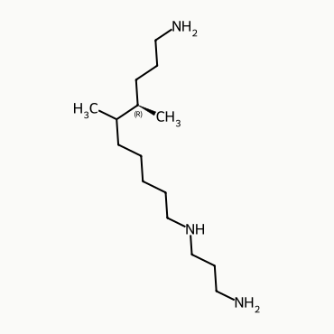 CC(CCCCCNCCCN)[C@H](C)CCCN